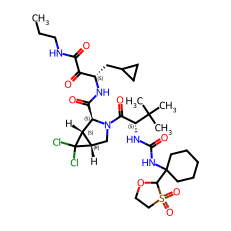 CCCNC(=O)C(=O)[C@H](CC1CC1)NC(=O)[C@@H]1[C@@H]2[C@H](CN1C(=O)[C@@H](NC(=O)NC1(C3OCCS3(=O)=O)CCCCC1)C(C)(C)C)C2(Cl)Cl